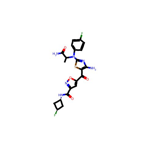 CC(C(N)=O)N(c1ccc(F)cc1)c1nc(N)c(C(=O)c2cc(C(=O)N[C@H]3C[C@H](F)C3)no2)s1